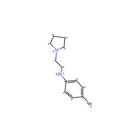 [2H]c1ccc(NCCN2CCCC2)cc1